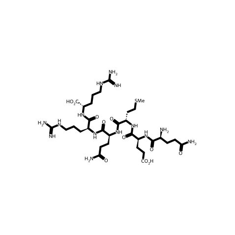 CSCC[C@H](NC(=O)[C@H](CCC(=O)O)NC(=O)[C@@H](N)CCC(N)=O)C(=O)N[C@@H](CCC(N)=O)C(=O)N[C@@H](CCCNC(=N)N)C(=O)N[C@@H](CCCNC(=N)N)C(=O)O